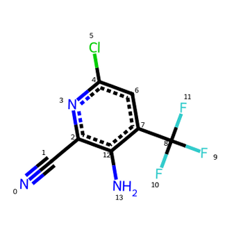 N#Cc1nc(Cl)cc(C(F)(F)F)c1N